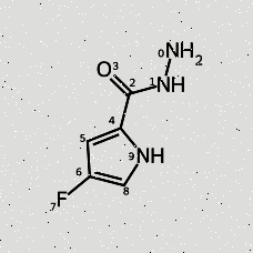 NNC(=O)c1cc(F)c[nH]1